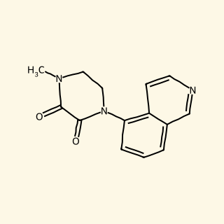 CN1CCN(c2cccc3cnccc23)C(=O)C1=O